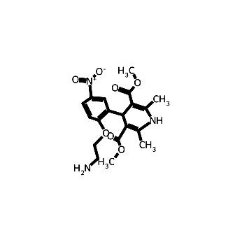 COC(=O)C1=C(C)NC(C)=C(C(=O)OC)C1c1cc([N+](=O)[O-])ccc1OCCN